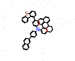 c1ccc(N(c2ccc(-c3ccc4ccccc4c3)cc2)c2ccc(-c3cccc4sc5ccccc5c34)cc2)c(-c2cccc3cccc(C4CCCCC4)c23)c1